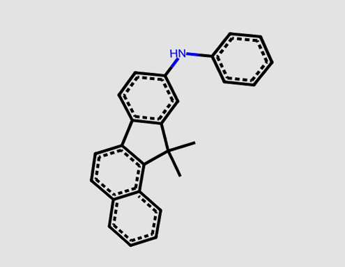 CC1(C)c2cc(Nc3ccccc3)ccc2-c2ccc3ccccc3c21